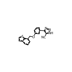 N#Cc1[nH]nnc1-c1cccc(OCc2cccc3ccsc23)c1